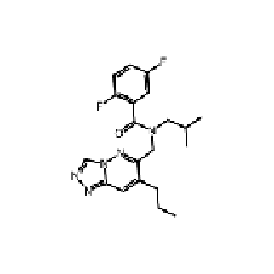 CCCc1cc2nncn2nc1CN(CC(C)C)C(=O)c1cc(F)ccc1F